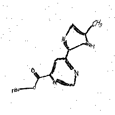 CCCCOC(=O)c1cc(-c2ncc(C)[nH]2)ncn1